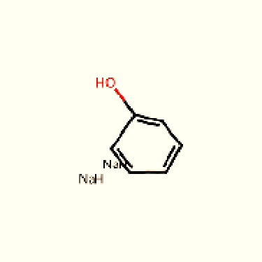 Oc1ccccc1.[NaH].[NaH]